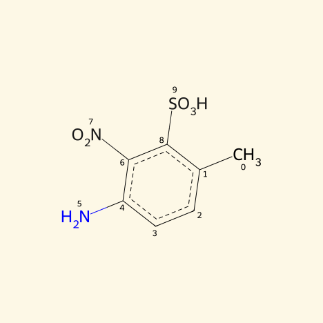 Cc1ccc(N)c([N+](=O)[O-])c1S(=O)(=O)O